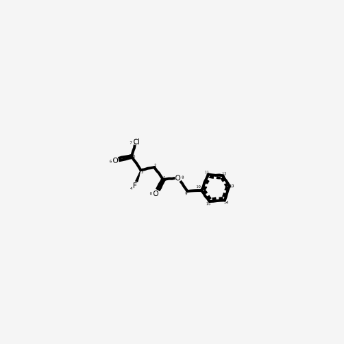 O=C(C[C@@H](F)C(=O)Cl)OCc1ccccc1